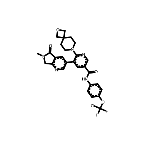 CN1Cc2ncc(-c3cc(C(=O)Nc4ccc(OC(F)(F)Cl)cc4)cnc3N3CCC4(CC3)COC4)cc2C1=O